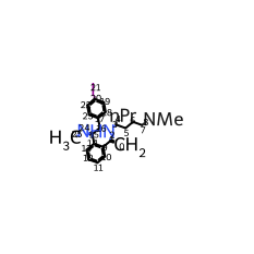 C=C(NC(CCC)CCCNC)c1ccccc1/C(Cc1ccc(I)cc1)=N\C